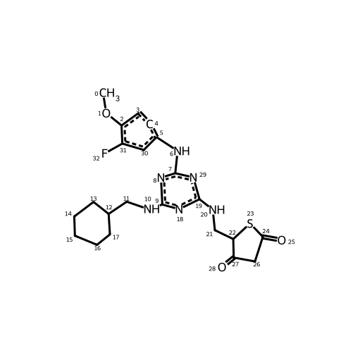 COc1ccc(Nc2nc(NCC3CCCCC3)nc(NCC3SC(=O)CC3=O)n2)cc1F